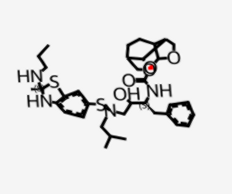 CCCN[C@@]1(C)Nc2ccc(SN(CC(C)C)CC(O)[C@H](Cc3ccccc3)NC(=O)OC3C4CCC5C(OC4)OCC53)cc2S1